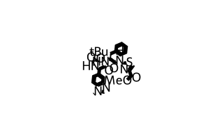 COC(=O)c1csc(NC(=O)[C@H](Cc2ccccc2)NC(=O)C(NC(=O)OC(C)(C)C)c2ccc3c(c2)ncn3C)n1